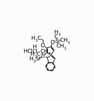 CCOC1=[C]([Zr]([CH3])([CH3])(=[SiH2])[CH]2C=Cc3ccccc32)CC=C1O[Si](C)(C)C.Cl.Cl